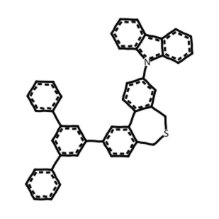 c1ccc(-c2cc(-c3ccccc3)cc(-c3ccc4c(c3)-c3ccc(-n5c6ccccc6c6ccccc65)cc3CSC4)c2)cc1